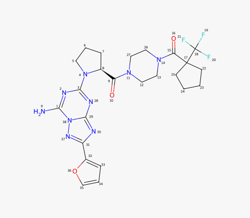 Nc1nc(N2CCC[C@H]2C(=O)N2CCN(C(=O)C3(C(F)(F)F)CCCC3)CC2)nc2nc(-c3ccco3)nn12